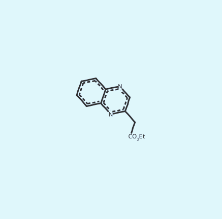 CCOC(=O)Cc1cnc2ccccc2n1